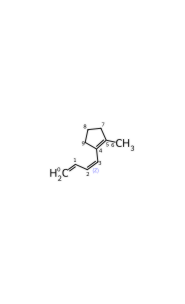 C=C/C=C\C1=C(C)CCC1